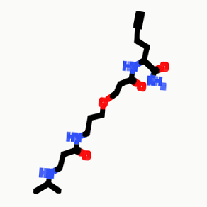 C#CCCC(NC(=O)CCOCCCNC(=O)CCNC(C)C)C(N)=O